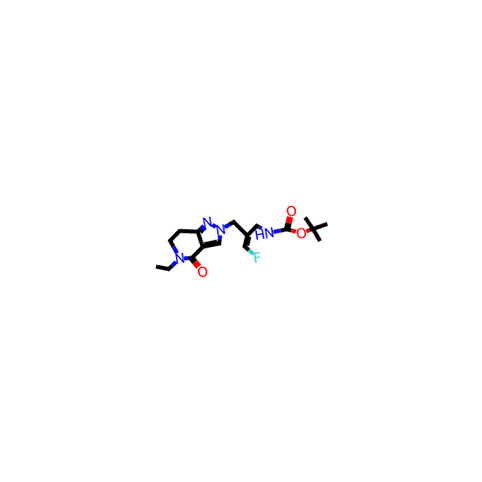 CCN1CCc2nn(CC(=CF)CNC(=O)OC(C)(C)C)cc2C1=O